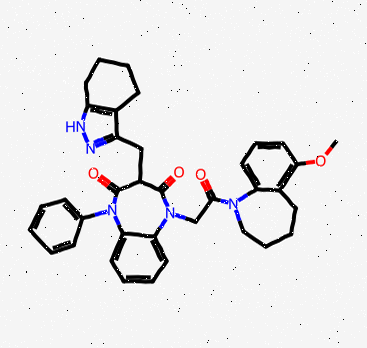 COc1cccc2c1CCCCN2C(=O)CN1C(=O)C(Cc2n[nH]c3c2CCCC3)C(=O)N(c2ccccc2)c2ccccc21